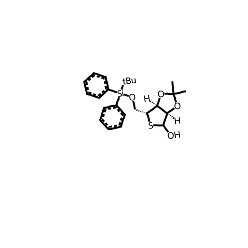 CC1(C)O[C@@H]2[C@@H](CO[Si](c3ccccc3)(c3ccccc3)C(C)(C)C)SC(O)[C@@H]2O1